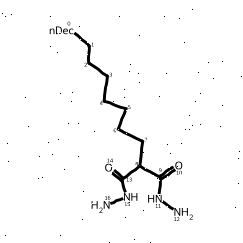 CCCCCCCCCCCCCCCCCC(C(=O)NN)C(=O)NN